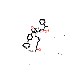 COC(=O)CCC/C=C\C[C@H]1[C@H](/C=C/[C@H](O)C(C)c2ccccc2)[C@@H]2C[C@@]1(c1ccc(-c3ccccc3)cc1)CO2